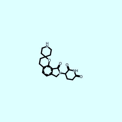 O=C1CCC(N2Cc3ccc4c(c3C2=O)OC2(CCNCC2)CC4)C(=O)N1